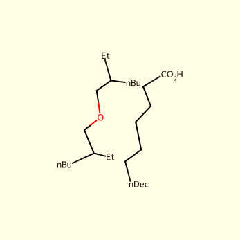 CCCCC(CC)COCC(CC)CCCC.CCCCCCCCCCCCCCCC(=O)O